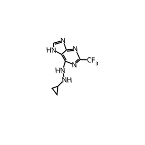 FC(F)(F)c1nc(NNC2CC2)c2[nH]cnc2n1